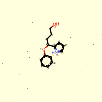 OCCCC(Oc1ccccc1)c1ccc[nH]1